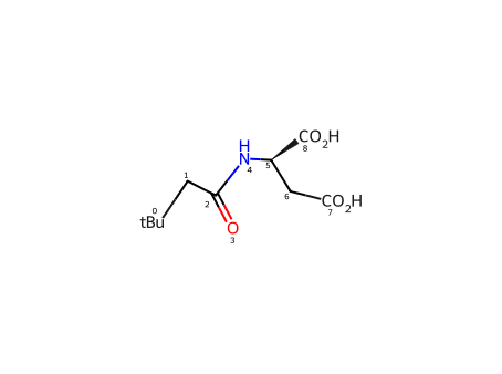 CC(C)(C)CC(=O)N[C@H](CC(=O)O)C(=O)O